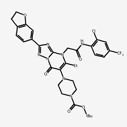 CCc1c(N2CCN(C(=O)OC(C)(C)C)CC2)c(=O)n2nc(-c3ccc4c(c3)OCC4)nc2n1CC(=O)Nc1ccc(C(F)(F)F)cc1Cl